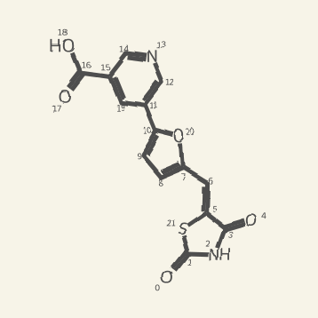 O=C1NC(=O)C(=Cc2ccc(-c3cncc(C(=O)O)c3)o2)S1